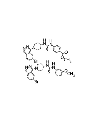 COC(=O)c1ccc(NC(=S)NC2CCN(c3nncc4ccc(Br)cc34)CC2)cc1.COc1cccc(NC(=S)NC2CCN(c3nncc4ccc(Br)cc34)CC2)c1